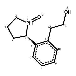 O=[PH]1CCC[C@@H]1c1ccccc1CCO